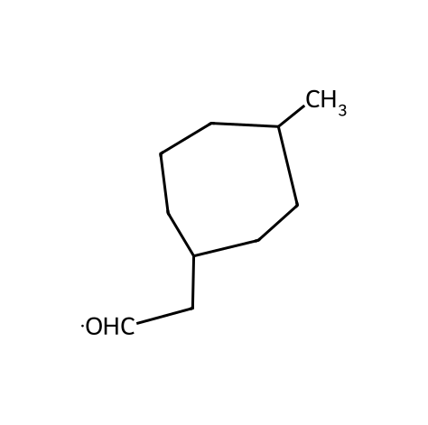 CC1CCCC(C[C]=O)CC1